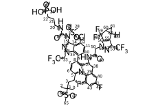 CC(C)(CCc1ccc(-c2ccc(Cl)c3c(N(C(=O)NCCCP(=O)(O)O)S(C)(=O)=O)nn(CC(F)(F)F)c23)c([C@H](Cc2cc(F)cc(F)c2)NC(=O)Cn2nc(C(F)(F)F)c3c2C(F)(F)C2C[C@H]32)n1)S(C)(=O)=O